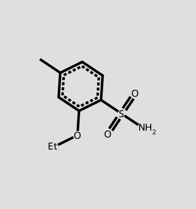 CCOc1cc(C)ccc1S(N)(=O)=O